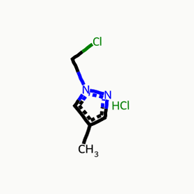 Cc1cnn(CCl)c1.Cl